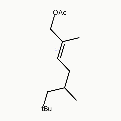 CC(=O)OC/C(C)=C/CC(C)CC(C)(C)C